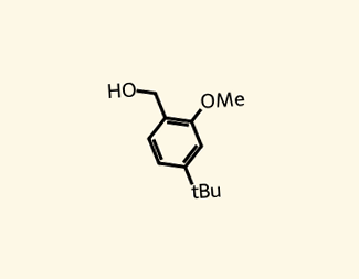 COc1cc(C(C)(C)C)ccc1CO